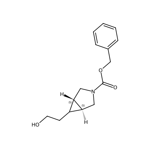 O=C(OCc1ccccc1)N1C[C@H]2C(CCO)[C@@H]2C1